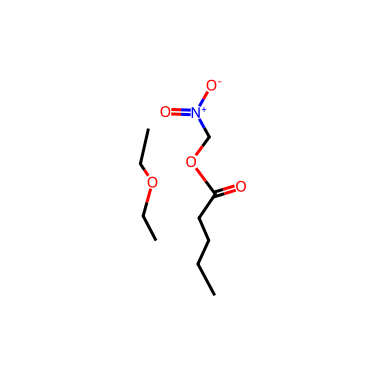 CCCCC(=O)OC[N+](=O)[O-].CCOCC